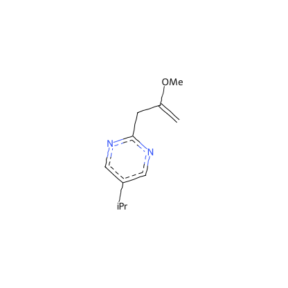 C=C(Cc1ncc(C(C)C)cn1)OC